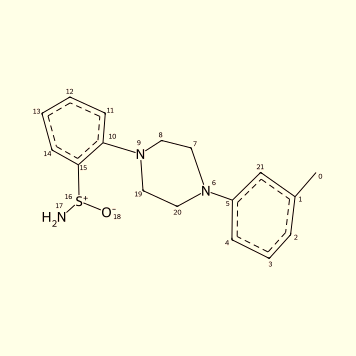 Cc1cccc(N2CCN(c3ccccc3[S+](N)[O-])CC2)c1